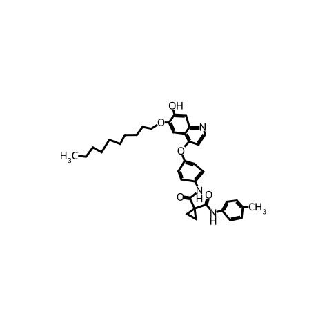 CCCCCCCCCCOc1cc2c(Oc3ccc(NC(=O)C4(C(=O)Nc5ccc(C)cc5)CC4)cc3)ccnc2cc1O